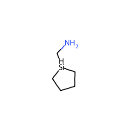 NC[SiH]1CCCC1